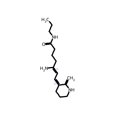 C=C1NCCC/C1=C/C=C(\N)CCCC(=O)NCCC